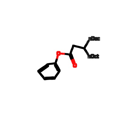 CCCCCCCCCCC(CCCCCCCC)CC(=O)Oc1ccccc1